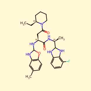 CC[C@H]1CCCCN1C(=O)C[C@H](NC1Nc2cc(C)ccc2O1)C(=O)N[C@@H](C)C1Nc2cccc(F)c2N1